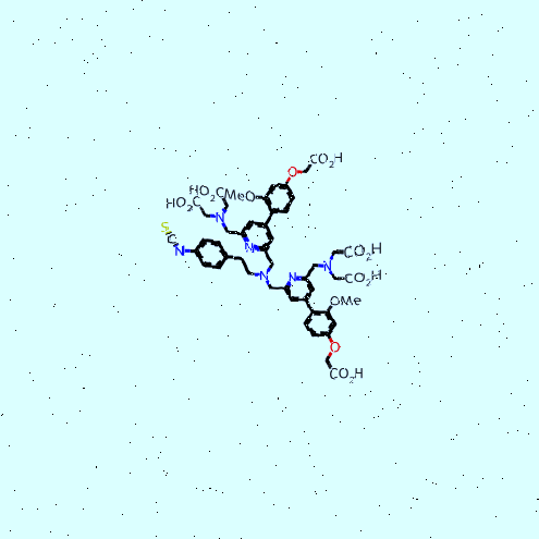 COc1cc(OCC(=O)O)ccc1-c1cc(CN(CC(=O)O)CC(=O)O)nc(CN(CCc2ccc(N=C=S)cc2)Cc2cc(-c3ccc(OCC(=O)O)cc3OC)cc(CN(CC(=O)O)CC(=O)O)n2)c1